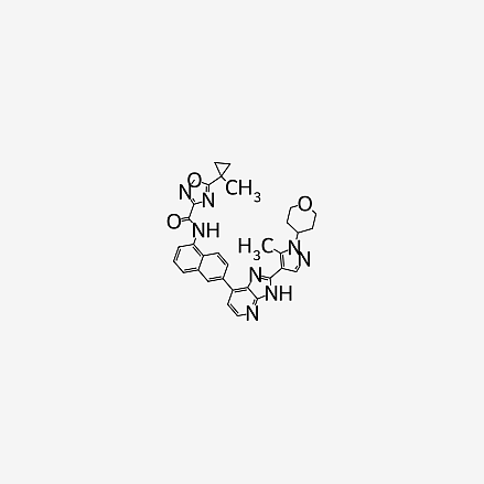 Cc1c(-c2nc3c(-c4ccc5c(NC(=O)c6noc(C7(C)CC7)n6)cccc5c4)ccnc3[nH]2)cnn1C1CCOCC1